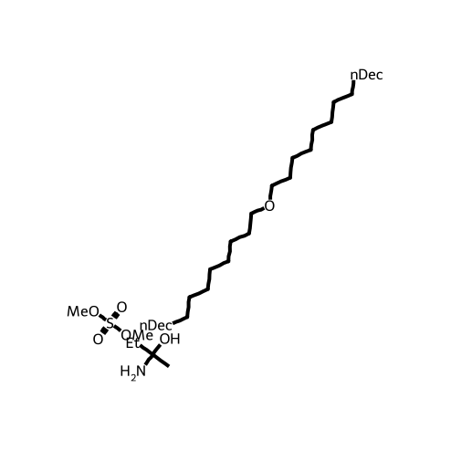 CCC(C)(N)O.CCCCCCCCCCCCCCCCCCOCCCCCCCCCCCCCCCCCC.COS(=O)(=O)OC